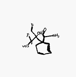 NC(=O)C1(C(O)(CF)C(O)(F)F)C=CC=CC1